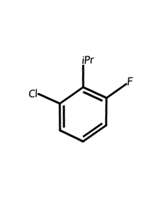 CC(C)c1c(F)cccc1Cl